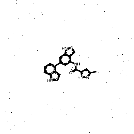 Cc1cc(C(=O)Nc2cc(-c3cccc4[nH]ccc34)cc3[nH]ncc23)[nH]n1